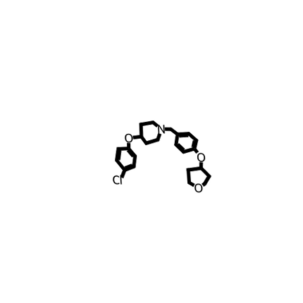 Clc1ccc(OC2CCN(Cc3ccc(OC4CCOCC4)cc3)CC2)cc1